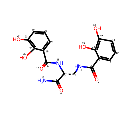 NC(=O)[C@@H](CNC(=O)c1cccc(O)c1O)NC(=O)c1cccc(O)c1O